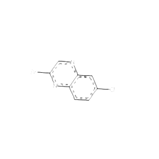 Clc1ccc2nc(Br)cnc2c1